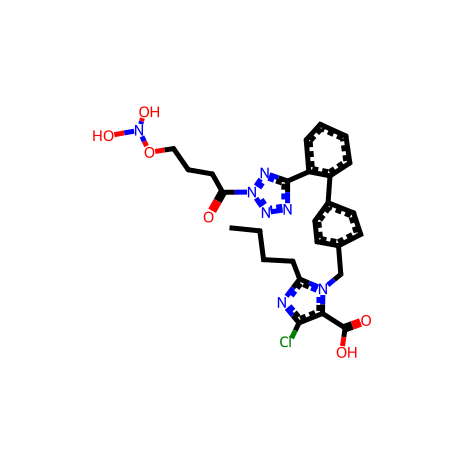 CCCCc1nc(Cl)c(C(=O)O)n1Cc1ccc(-c2ccccc2-c2nnn(C(=O)CCCON(O)O)n2)cc1